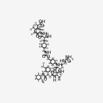 C=Cc1ccccc1N(Cc1ccccc1CC)C(=O)CCC(=O)N[C@H](C(=O)N[C@@H](CCCNC(N)=O)C(=O)Nc1ccc(COC(=O)NCc2ccc(C(C)(C)C(NC)C(=O)N[C@H](C(=O)N(C)[C@H](/C=C(\C)C(=O)O)C(C)C)C(C)(C)C)cc2)cc1)C(C)C